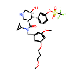 COCCCOc1cc(CN(C(=O)[C@H]2CNC[C@@H](O)[C@@H]2c2cccc(OS(=O)(=O)C(F)(F)F)c2)C2CC2)cc(OC)c1